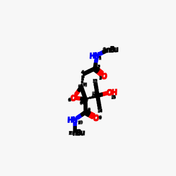 CCCCNC(=O)C[C@H]1O[C@@]1(C(=O)NCCCC)C(C)(C)O